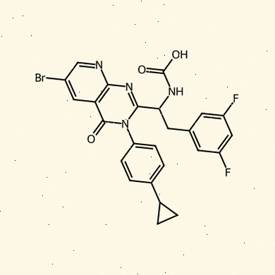 O=C(O)NC(Cc1cc(F)cc(F)c1)c1nc2ncc(Br)cc2c(=O)n1-c1ccc(C2CC2)cc1